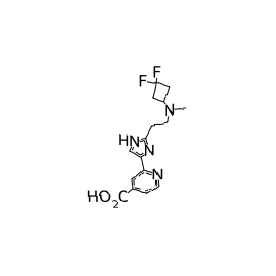 CN(CCc1nc(-c2cc(C(=O)O)ccn2)c[nH]1)C1CC(F)(F)C1